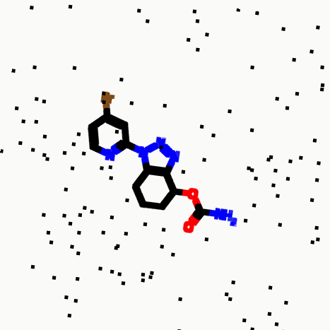 NC(=O)OC1CCCc2c1nnn2-c1cc(Br)ccn1